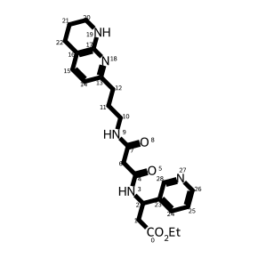 CCOC(=O)CC(NC(=O)CC(=O)NCCCc1ccc2c(n1)NCCC2)c1cccnc1